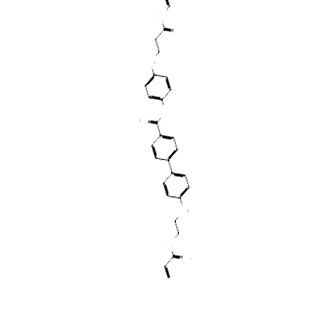 C=COC(=O)CCOc1ccc(SC(=O)c2ccc(-c3ccc(OCCSC(=O)C=C)cc3)cc2)cc1